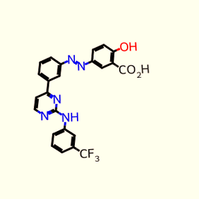 O=C(O)c1cc(/N=N/c2cccc(-c3ccnc(Nc4cccc(C(F)(F)F)c4)n3)c2)ccc1O